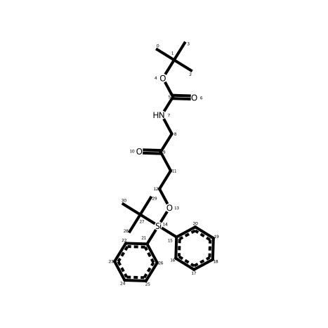 CC(C)(C)OC(=O)NCC(=O)CCO[Si](c1ccccc1)(c1ccccc1)C(C)(C)C